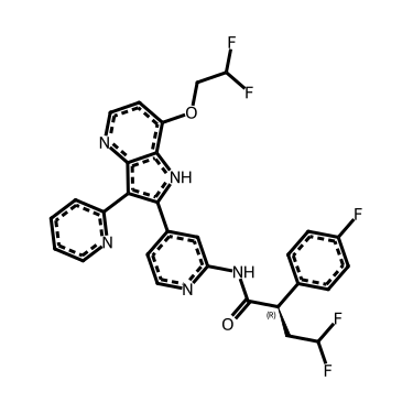 O=C(Nc1cc(-c2[nH]c3c(OCC(F)F)ccnc3c2-c2ccccn2)ccn1)[C@H](CC(F)F)c1ccc(F)cc1